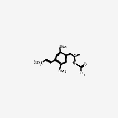 CCOC(=O)C=Cc1cc(OC)c(C[C@@H](C)NC(=O)C(F)(F)F)cc1OC